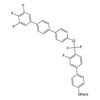 CCCCCc1ccc(-c2ccc(C(F)(F)Oc3ccc(-c4ccc(-c5cc(F)c(F)c(F)c5)cc4)cc3)c(F)c2)cc1